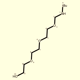 CC(C)(C)NCOCCOCCOCCO